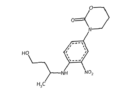 CC(CCO)Nc1ccc(N2CCCOC2=O)cc1[N+](=O)[O-]